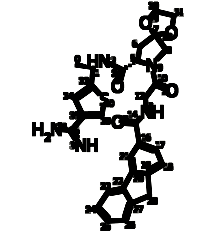 C[C@@H](NC(=O)[C@@H]1CC2(CN1C(=O)CNC(=O)c1ccc3c(c1)-c1ccccc1C3)OCCO2)c1cc(C(=N)N)cs1